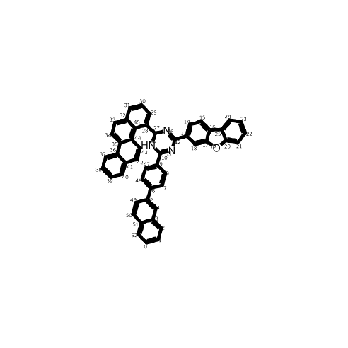 c1ccc2cc(-c3ccc(C4=NC(c5ccc6c(c5)oc5ccccc56)=NC(c5cccc6ccc7c8ccccc8ccc7c56)N4)cc3)ccc2c1